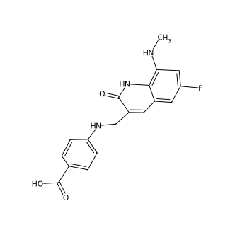 CNc1cc(F)cc2cc(CNc3ccc(C(=O)O)cc3)c(=O)[nH]c12